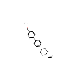 C/C=C\[C@H]1CC[C@H](c2ccc(-c3ccc(COCCC)cc3)cc2)CC1